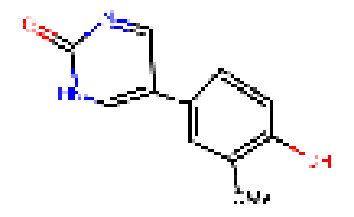 COc1cc(-c2cnc(=O)[nH]c2)ccc1O